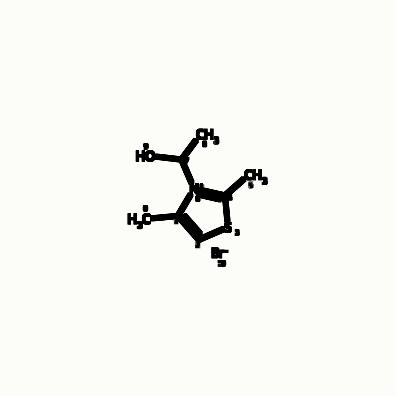 Cc1csc(C)[n+]1C(C)O.[Br-]